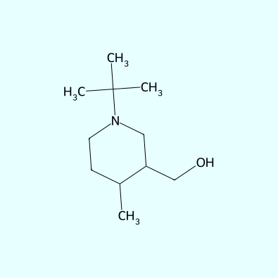 CC1CCN(C(C)(C)C)CC1CO